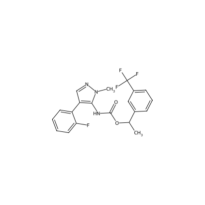 CC(OC(=O)Nc1c(-c2ccccc2F)cnn1C)c1cccc(C(F)(F)F)c1